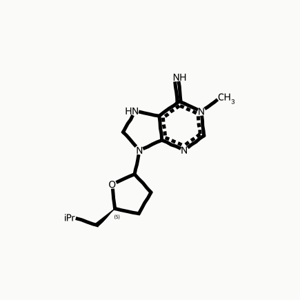 CC(C)C[C@@H]1CCC(N2CNc3c2ncn(C)c3=N)O1